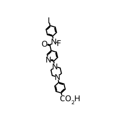 O=C(O)c1ccc(N2CCN(c3ccc(C(=O)N(F)c4ccc(I)cc4)cn3)CC2)cc1